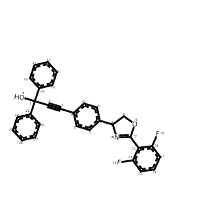 OC(C#Cc1ccc(C2COC(c3c(F)cccc3F)=N2)cc1)(c1ccccc1)c1ccccc1